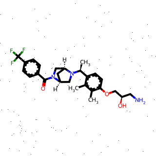 Cc1c(OC[C@H](O)CN)ccc([C@H](C)N2C[C@@H]3C[C@H]2CN3C(=O)c2ccc(C(F)(F)F)cc2)c1C